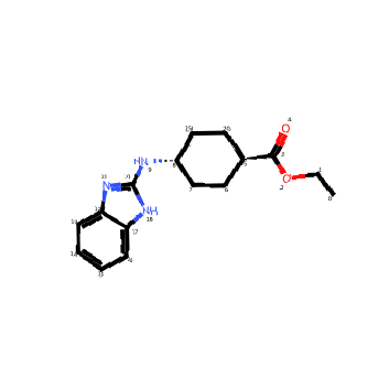 CCOC(=O)[C@H]1CC[C@H](Nc2nc3ccccc3[nH]2)CC1